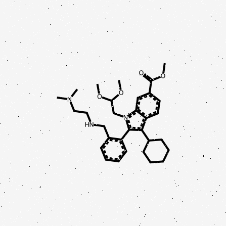 COC(=O)c1ccc2c(C3CCCCC3)c(-c3ccccc3CNCCN(C)C)n(CC(OC)OC)c2c1